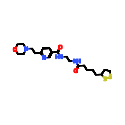 O=C(CCCCC1CCSS1)NCCNC(=O)c1ccc(CCN2CCOCC2)nc1